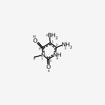 Bc1c(N)[nH]c(=O)n(C)c1=O